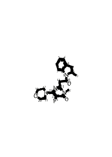 CC1Cc2ccccc2N1C(=O)Cc1nc(N2CCOCC2)c(F)c(=O)n1C